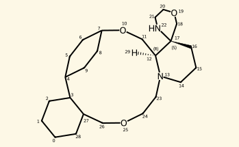 C1CCC2C3CCC(CC3)OC[C@@H]3N(CCC[C@@]34COCCN4)CCOCC2C1